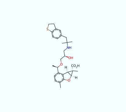 Cc1ccc([C@@H](C)OC[C@H](O)CNC(C)(C)Cc2ccc3c(c2)CCS3)c2c1O[C@H]1[C@@H]2[C@]1(C)C(=O)O